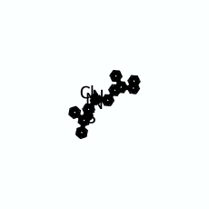 Clc1nc(-c2cccc(-c3ccc4c(-c5ccccc5)cc(-c5cccc6ccccc56)cc4c3)c2)nc(-c2ccc3c(c2)sc2cc(-c4ccccc4)cc(-c4ccccc4)c23)n1